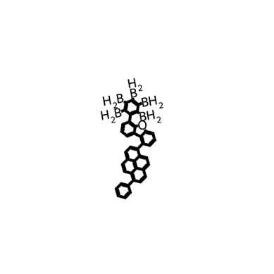 Bc1c(B)c(B)c(-c2cccc3c2oc2cccc(-c4ccc5ccc6c(-c7ccccc7)ccc7ccc4c5c76)c23)c(B)c1B